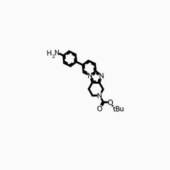 CC(C)(C)OC(=O)N1CCc2c(nc3ccc(-c4ccc(N)cc4)cn23)C1